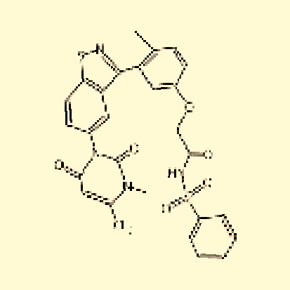 Cc1ccc(OCC(=O)NS(=O)(=O)c2ccccc2)cc1-c1nsc2ccc(-n3c(=O)cc(C(F)(F)F)n(C)c3=O)cc12